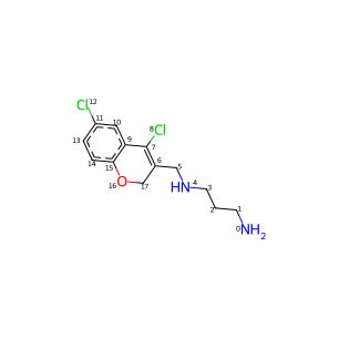 NCCCNCC1=C(Cl)c2cc(Cl)ccc2OC1